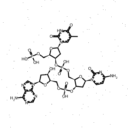 Cc1cn([C@H]2C[C@@H](OP(=O)(O)OC[C@H]3O[C@@H](n4ccc(N)nc4=O)C[C@H]3OP(=O)(O)OC[C@H]3O[C@@H](n4cnc5c(N)ncnc54)C[C@H]3O)[C@@H](COP(=O)(O)O)O2)c(=O)[nH]c1=O